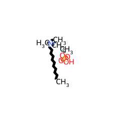 CCCCCCCCCCCC[N+](C)(C)CC.CCOS(=O)(=O)O